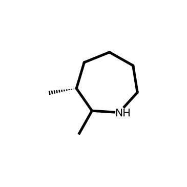 CC1NCCCC[C@H]1C